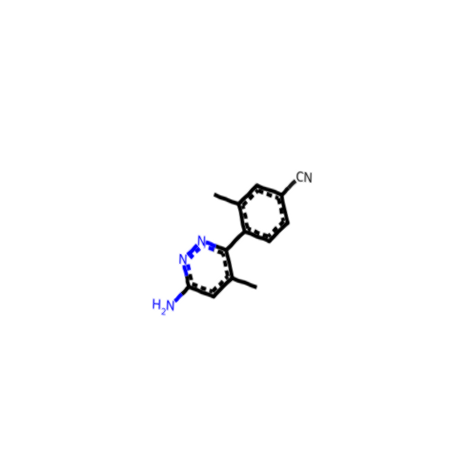 Cc1cc(C#N)ccc1-c1nnc(N)cc1C